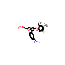 CCOC(=O)Cc1ccc(F)cc1OCc1cc(-c2cccc(CN)c2)c2oc(CCO)cc2c1